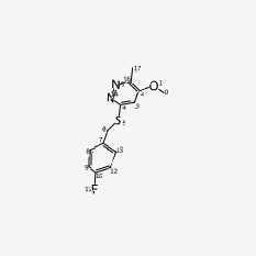 COc1cc(SCc2ccc(F)cc2)nnc1C